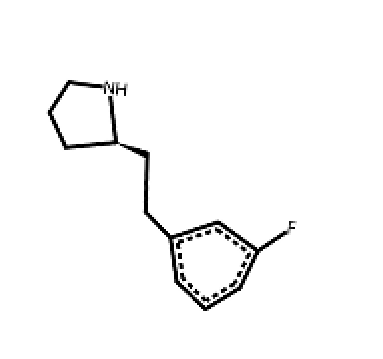 Fc1cccc(CC[C@H]2CCCN2)c1